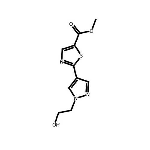 COC(=O)c1cnc(-c2cnn(CCO)c2)s1